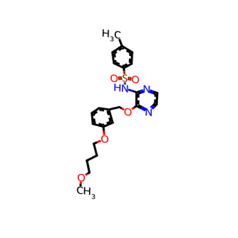 COCCCCOc1cccc(COc2nccnc2NS(=O)(=O)c2ccc(C)cc2)c1